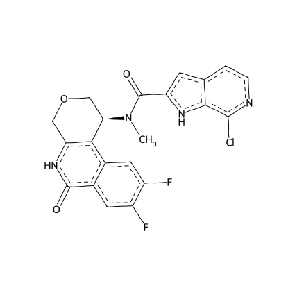 CN(C(=O)c1cc2ccnc(Cl)c2[nH]1)[C@@H]1COCc2[nH]c(=O)c3cc(F)c(F)cc3c21